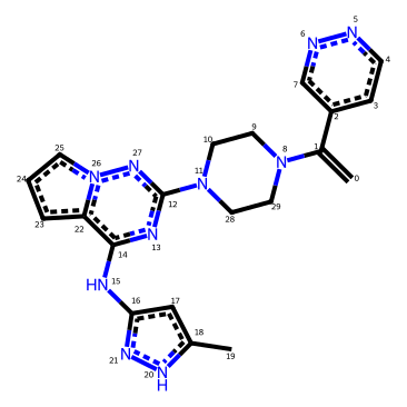 C=C(c1ccnnc1)N1CCN(c2nc(Nc3cc(C)[nH]n3)c3cccn3n2)CC1